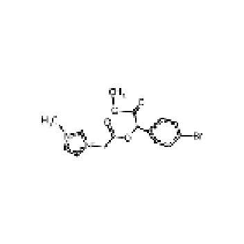 COC(=O)C(OC(=O)C[n+]1ccn(C)c1)c1ccc(Br)cc1